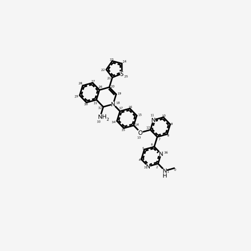 CNc1nccc(-c2cccnc2Oc2ccc(N3C=C(c4cccs4)c4ccccc4C3N)cc2)n1